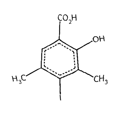 Cc1cc(C(=O)O)c(O)c(C)c1I